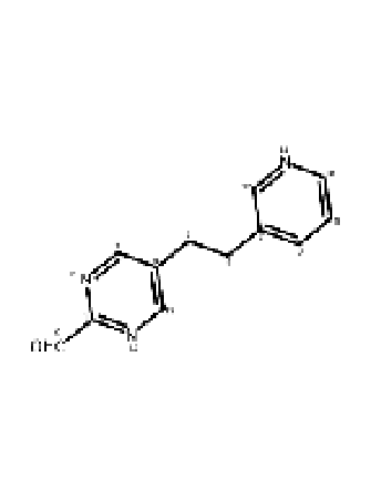 O=Cc1ncc(CCc2cccnc2)cn1